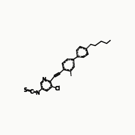 CCCCCc1ccc(-c2ccc(C#Cc3ncc(N=C=S)cc3Cl)c(C)c2)cc1